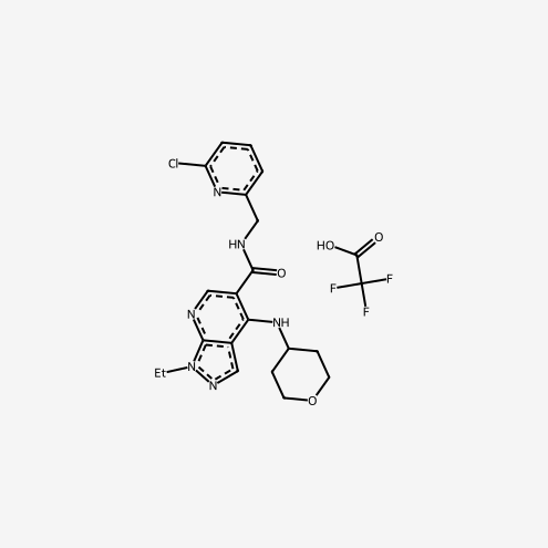 CCn1ncc2c(NC3CCOCC3)c(C(=O)NCc3cccc(Cl)n3)cnc21.O=C(O)C(F)(F)F